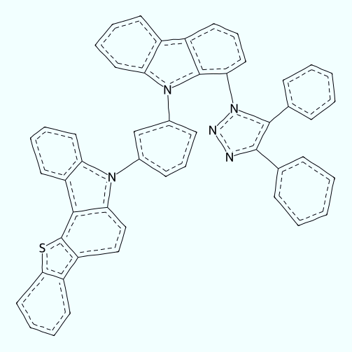 c1ccc(-c2nnn(-c3cccc4c5ccccc5n(-c5cccc(-n6c7ccccc7c7c8sc9ccccc9c8ccc76)c5)c34)c2-c2ccccc2)cc1